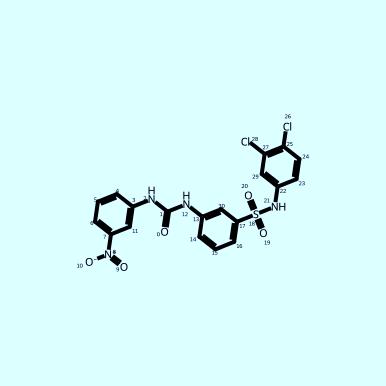 O=C(Nc1cccc([N+](=O)[O-])c1)Nc1cccc(S(=O)(=O)Nc2ccc(Cl)c(Cl)c2)c1